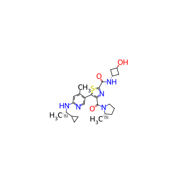 Cc1cc(N[C@@H](C)C2CC2)ncc1-c1sc(C(=O)N[C@H]2C[C@H](O)C2)nc1C(=O)N1CCC[C@@H]1C